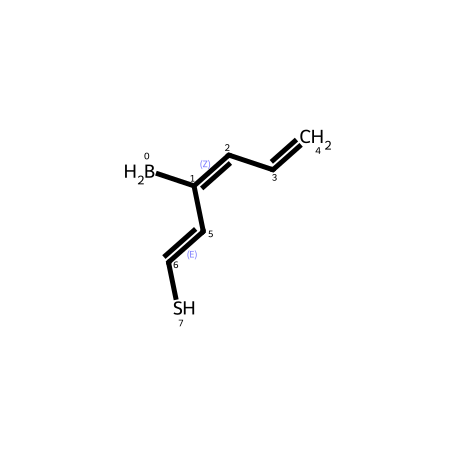 BC(=C/C=C)/C=C/S